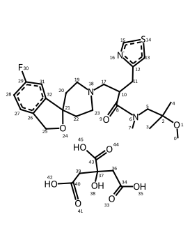 COC(C)(C)CN(C)C(=O)C(Cc1cscn1)CN1CCC2(CC1)OCc1ccc(F)cc12.O=C(O)CC(O)(CC(=O)O)C(=O)O